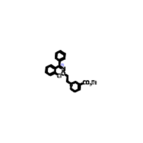 CCOC(=O)C1=CCCN(CCO/N=C(/c2ccccc2)c2ccccc2Cl)C1